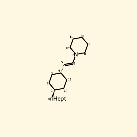 CCCCCCC[C@H]1CC[C@H](/C=C/N2CCCCC2)CC1